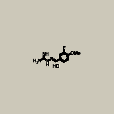 COc1ccc(/C=N/NC(=N)N)cc1F.Cl